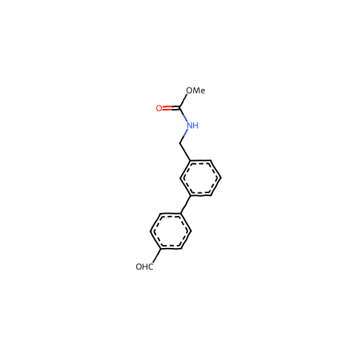 COC(=O)NCc1cccc(-c2ccc(C=O)cc2)c1